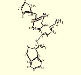 Nc1ncc(CNC2CCc3ccccc32)c2nc(-c3ccco3)nn12